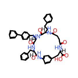 O=C1CCC(=O)N[C@H](CCc2ccccc2)C(=O)N[C@@H](Cc2ccc(-c3ccccc3)cc2)C(=O)N[C@H](Cc2ccccc2)C(=O)Nc2ccc(cc2)C[C@@H](C(=O)O)N1